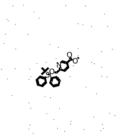 COC(=O)c1ccc(CO[Si](c2ccccc2)(c2ccccc2)C(C)(C)C)nc1